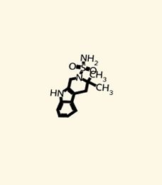 CC1(C)Cc2c([nH]c3ccccc23)CN1S(N)(=O)=O